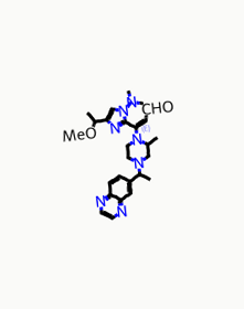 COC(C)c1cn(N(C)C)c(/C(=C\C=O)N2CCN(C(C)c3ccc4nccnc4c3)CC2C)n1